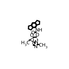 CCOC(=O)[C@@H](Cn1ncnc1C)OC(=O)Nc1c2c(cc3c1CCC3)CCC2